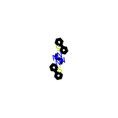 c1ccc2c(c1)sc1c(-n3cnc4c3ncn4-c3cccc4c3sc3ccccc34)cccc12